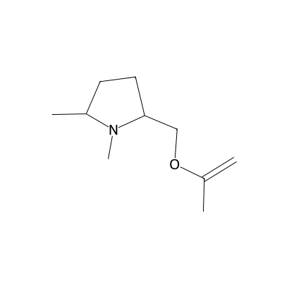 C=C(C)OCC1CCC(C)N1C